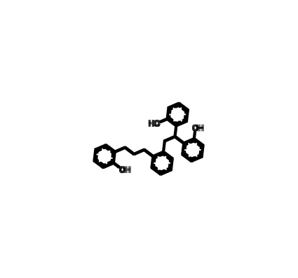 Oc1ccccc1CCCc1ccccc1CC(c1ccccc1O)c1ccccc1O